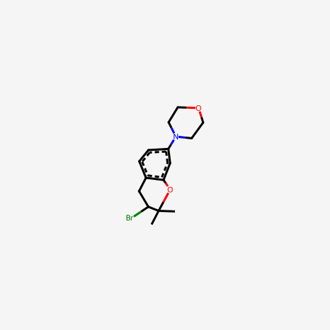 CC1(C)Oc2cc(N3CCOCC3)ccc2CC1Br